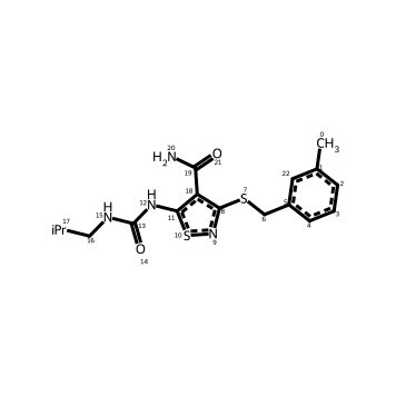 Cc1cccc(CSc2nsc(NC(=O)NCC(C)C)c2C(N)=O)c1